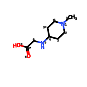 CN1CCC(NCC(=O)O)CC1